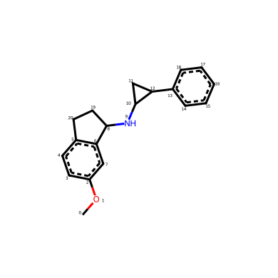 COc1ccc2c(c1)C(NC1CC1c1ccccc1)CC2